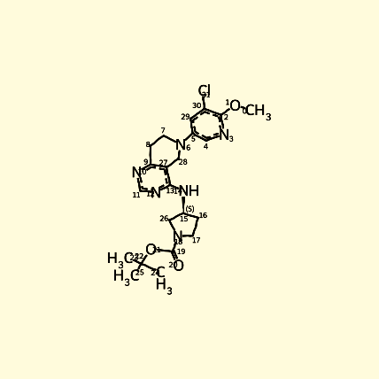 COc1ncc(N2CCc3ncnc(N[C@H]4CCN(C(=O)OC(C)(C)C)C4)c3C2)cc1Cl